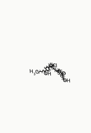 CCCCCC(O)c1ccc([C@H]2CC[C@@H](Cl)[C@@H]2CCCc2ccc(C(=O)OCCO)s2)cc1